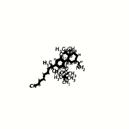 CC(C)(CCCCCCCl)c1cc2c(c(O[Si](C)(C)C(C)(C)C)c1)[C@@H]1C[C@H](CN)CC[C@H]1C(C)(C)O2